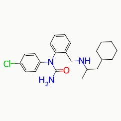 CC(CC1CCCCC1)NCc1ccccc1N(C(N)=O)c1ccc(Cl)cc1